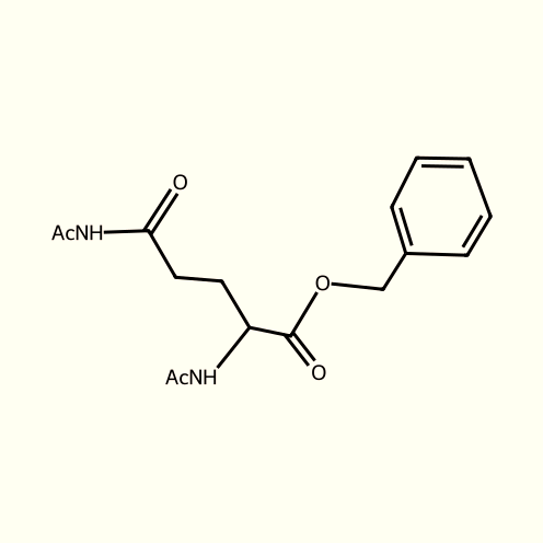 CC(=O)NC(=O)CCC(NC(C)=O)C(=O)OCc1ccccc1